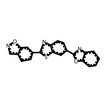 c1ccc2oc(-c3ccc4nc(-c5ccc6cnoc6c5)sc4c3)nc2c1